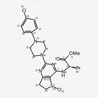 COC(=O)[C@H](Nc1nc(N2CCN(c3ccc(Cl)cc3)CC2)nc2c1[S+]([O-])CC2)C(C)C